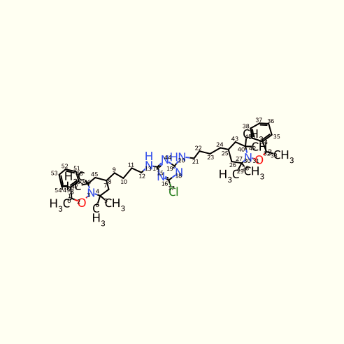 CC(ON1C(C)(C)CC(CCCCNc2nc(Cl)nc(NCCCCC3CC(C)(C)N(OC(C)c4ccccc4)C(C)(C)C3)n2)CC1(C)C)c1ccccc1